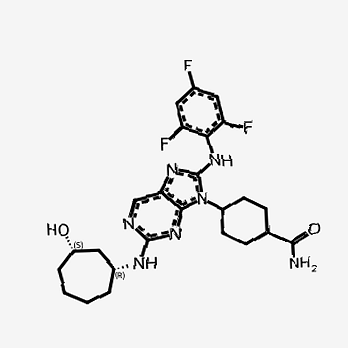 NC(=O)C1CCC(n2c(Nc3c(F)cc(F)cc3F)nc3cnc(N[C@@H]4CCCC[C@H](O)C4)nc32)CC1